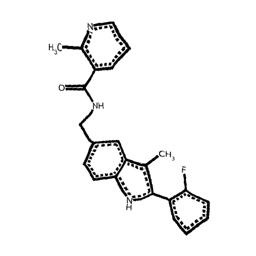 Cc1ncccc1C(=O)NCc1ccc2[nH]c(-c3ccccc3F)c(C)c2c1